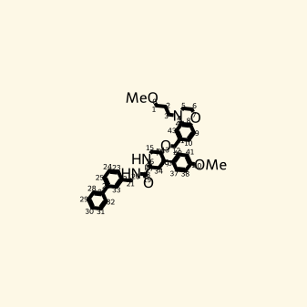 COCCCN1CCOc2ccc(CO[C@H]3CN[C@H](C(=O)NCc4cccc(-c5ccccc5)c4)C[C@@H]3c3ccc(OC)cc3)cc21